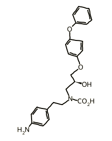 Nc1ccc(CCN(C[C@H](O)COc2ccc(Oc3ccccc3)cc2)C(=O)O)cc1